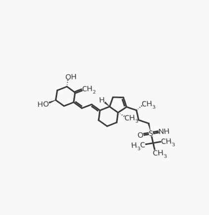 C=C1/C(=C\C=C2/CCC[C@]3(C)C([C@H](C)CC[S@](=N)(=O)C(C)(C)C)=CC[C@@H]23)C[C@@H](O)C[C@@H]1O